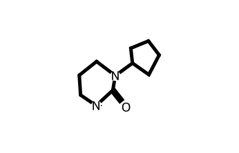 O=C1[N]CCCN1C1CCCC1